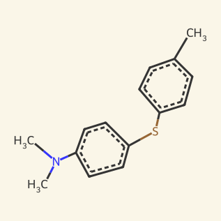 Cc1ccc(Sc2ccc(N(C)C)cc2)cc1